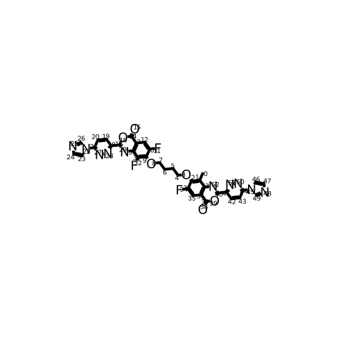 Cc1c(OCCCCOc2c(F)cc3c(=O)oc(-c4ccc(-n5ccnc5)nn4)nc3c2F)c(F)cc2c(=O)oc(-c3ccc(-n4ccnc4)nn3)nc12